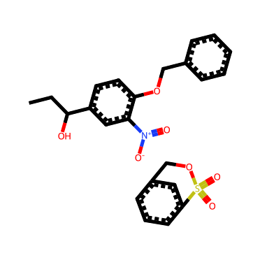 CCC(O)c1ccc(OCc2ccccc2)c([N+](=O)[O-])c1.O=S1(=O)OCc2cccc1c2